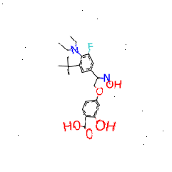 CCN(CC)c1c(F)cc(/C(COc2ccc(C(=O)O)c(O)c2)=N/O)cc1C(C)(C)C